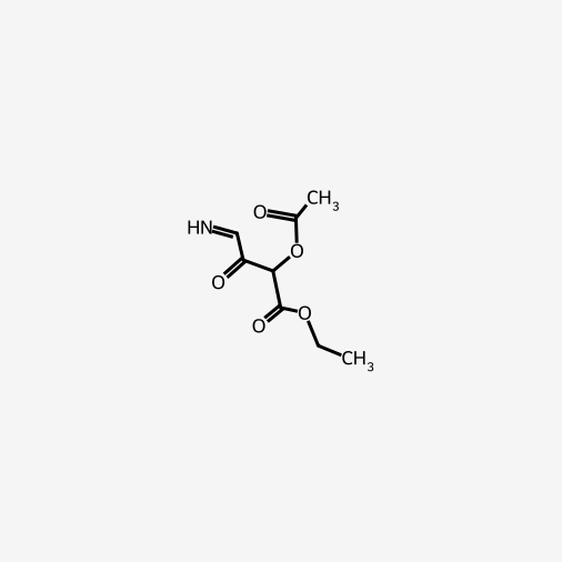 CCOC(=O)C(OC(C)=O)C(=O)C=N